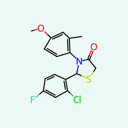 COc1ccc(N2C(=O)CSC2c2ccc(F)cc2Cl)c(C)c1